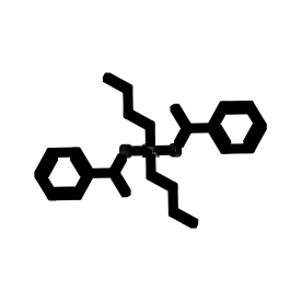 CCC[CH2][Sn]([CH2]CCC)([O]C(C)c1ccccc1)[O]C(C)c1ccccc1